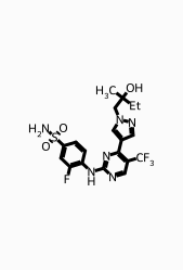 CCC(C)(O)Cn1cc(-c2nc(Nc3ccc(S(N)(=O)=O)cc3F)ncc2C(F)(F)F)cn1